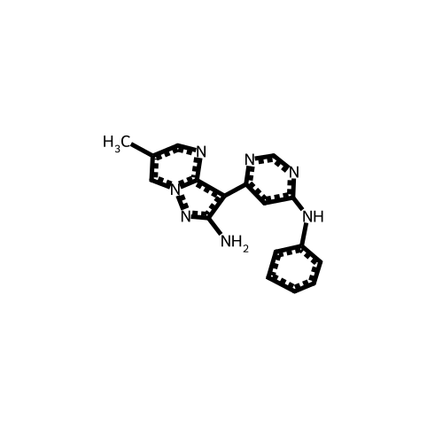 Cc1cnc2c(-c3cc(Nc4ccccc4)ncn3)c(N)nn2c1